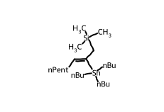 CCCCC/C=[C](/C[Si](C)(C)C)[Sn]([CH2]CCC)([CH2]CCC)[CH2]CCC